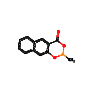 CP1OC(=O)c2cc3ccccc3cc2O1